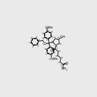 COc1ccc(C(OCc2ccccc2)(c2ccc(OC)cc2)C2CC(O)CN2C(=O)CCCCC(N)=O)cc1